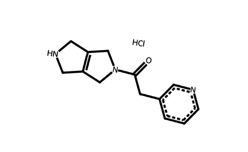 Cl.O=C(Cc1cccnc1)N1CC2=C(CNC2)C1